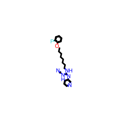 N#CN/C(=N\c1cccnc1)NCCCCCCCCOc1ccccc1F